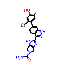 CCc1cc(O)c(F)cc1-c1ccc2c(-c3nc4c([nH]3)CN(C(N)=O)C4)n[nH]c2c1